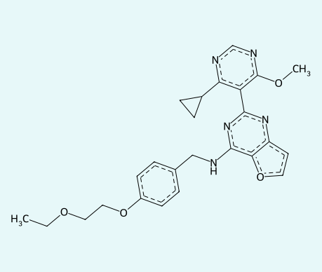 CCOCCOc1ccc(CNc2nc(-c3c(OC)ncnc3C3CC3)nc3ccoc23)cc1